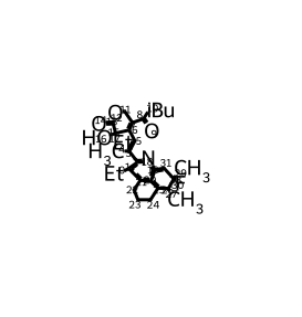 CCc1c(/C(C)=C/C2=C(C(=O)C(C)CC)COC(=O)[C@]2(O)CC)nc2c3c1CCCC=3C(C)C(C)(F)C=2